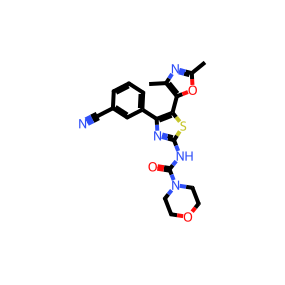 Cc1nc(C)c(-c2sc(NC(=O)N3CCOCC3)nc2-c2cccc(C#N)c2)o1